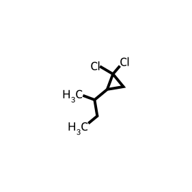 CCC(C)C1CC1(Cl)Cl